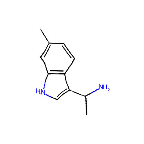 Cc1ccc2c(C(C)N)c[nH]c2c1